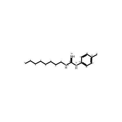 CCCCCCCCNC(=N)Nc1ccc(C)cc1